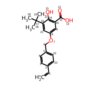 C=Cc1ccc(COc2cc(C(=O)O)c(O)c(C(C)(C)C)c2)cc1